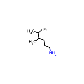 CCCC(C)C(C)CCCN